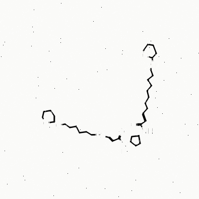 O=C(/C=C/CCCCCCCCOC1CCCCO1)N[C@@H]1CC[C@H](NC(=O)/C=C/CCCCCCCCOC2CCCCO2)C1